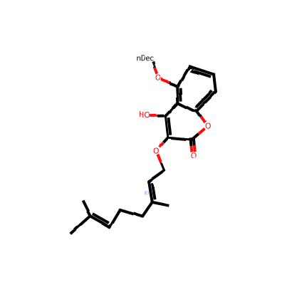 CCCCCCCCCCOc1cccc2oc(=O)c(OC/C=C(\C)CCC=C(C)C)c(O)c12